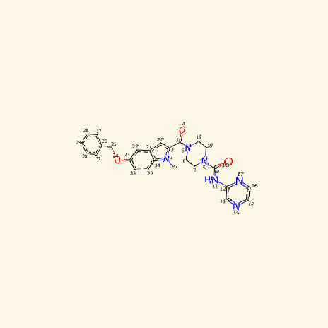 Cn1c(C(=O)N2CCN(C(=O)Nc3cnccn3)CC2)cc2cc(OCc3ccccc3)ccc21